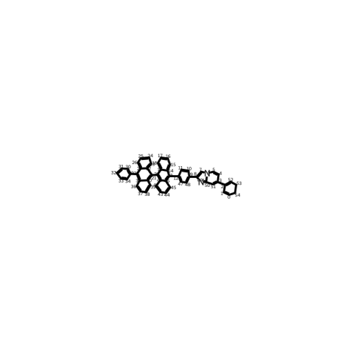 C1=CC(c2ccn3cc(-c4ccc(-c5c6ccccc6c(-c6c7ccccc7c(-c7ccccc7)c7ccccc67)c6ccccc56)cc4)nc3c2)=CCC1